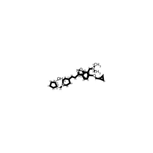 CN(C)Cc1c(OCC2CC2)ccc2c(CCC3CCN(C[C@@H]4CCC[C@@H]4O)CC3)noc12